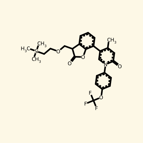 Cc1cc(=O)n(-c2ccc(OC(F)(F)F)cc2)cc1-c1cccc2c1OC(=O)C2COCC[Si](C)(C)C